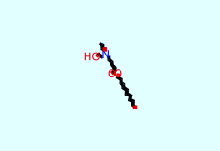 CCCCCCCCCCCCOC(=O)CCCCCN(CCO)CCCC